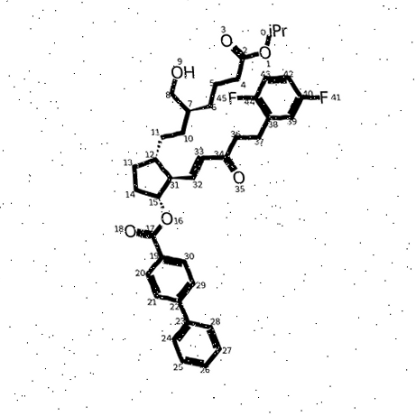 CC(C)OC(=O)CCC[C@H](CO)CC[C@H]1CC[C@@H](OC(=O)c2ccc(-c3ccccc3)cc2)[C@@H]1/C=C/C(=O)CCc1cc(F)ccc1F